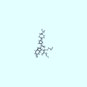 CCOC(=O)N(CCCOC)c1c(C(=O)c2ccc(N3CCN(C(C)C)CC3)s2)oc2ccc(Cl)cc12